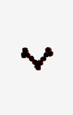 c1ccc(-n2c3ccccc3c3cc(-c4ccc(-c5ccc6c(c5)c5cc(-c7ccc(-c8ccc9c(c8)c8ccccc8n9-c8ccccc8)cc7)ccc5n6-c5ccccc5)cc4)ccc32)cc1